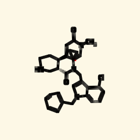 Cn1ccc([C@@H]2CCNC[C@H]2C(=O)N(Cc2cn(Cc3ccccc3)c3cccc(Cl)c23)C2CC2)cc1=O